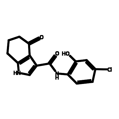 O=C(Nc1ccc(Cl)cc1O)c1c[nH]c2c1C(=O)CCC2